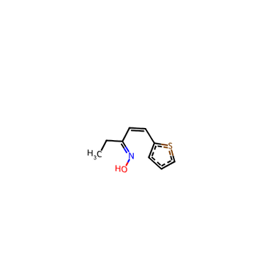 CCC(/C=C\c1cccs1)=NO